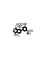 Cc1nnc(N)c2ccc(-c3cc(B(O)O)cc(F)c3C#N)cc12.O=CO